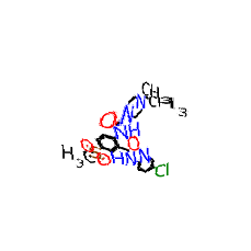 CC(C)N1CCN(C(=O)Nc2ccc(S(C)(=O)=O)cc2C(=O)Nc2ccc(Cl)cn2)CC1